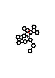 c1ccc(-c2cccc(-c3ccc(N(c4ccc5c6ccccc6c6ccccc6c5c4)c4cc5c(cc4-c4cccc6ccccc46)-c4ccccc4C54c5ccccc5-c5ccccc54)cc3)c2)cc1